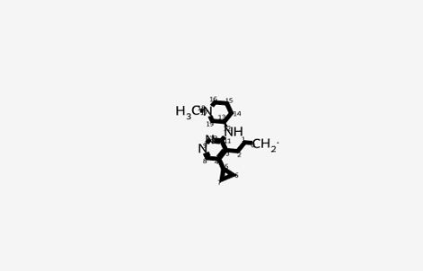 [CH2]CCc1c(C2CC2)cnnc1N[C@@H]1CCCN(C)C1